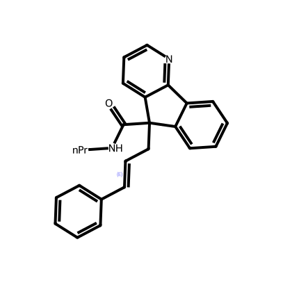 CCCNC(=O)C1(C/C=C/c2ccccc2)c2ccccc2-c2ncccc21